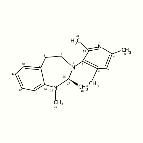 Cc1cc(C)c(N2CCc3ccccc3N(C)[C@@H]2C)c(C)n1